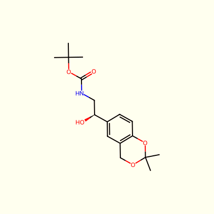 CC(C)(C)OC(=O)NC[C@H](O)c1ccc2c(c1)COC(C)(C)O2